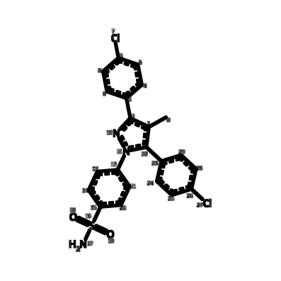 Cc1c(-c2ccc(Cl)cc2)nn(-c2ccc(S(N)(=O)=O)cc2)c1-c1ccc(Cl)cc1